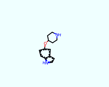 c1cc2cc(OC3CCNCC3)ccc2[nH]1